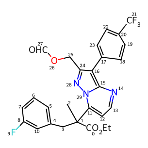 CCOC(=O)C(C)(Cc1cccc(F)c1)c1ccnc2c(-c3ccc(C(F)(F)F)cc3)c(COC=O)nn12